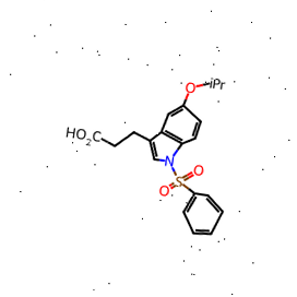 CC(C)Oc1ccc2c(c1)c(CCC(=O)O)cn2S(=O)(=O)c1ccccc1